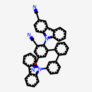 N#Cc1cc(C#N)c(-n2c3ccccc3c3cc(C#N)ccc32)c(-c2ccccc2-c2cccc(-n3c4ccccc4c4ccccc43)c2)c1